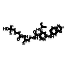 CC(C)Nc1cc(Nc2ccc3ncsc3c2)ncc1C(=O)NCC[C@@H](C)NC(=O)CCCC(C)(C)O